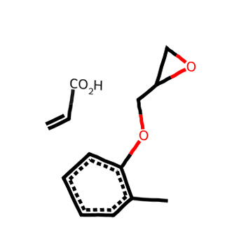 C=CC(=O)O.Cc1ccccc1OCC1CO1